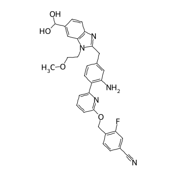 COCCn1c(Cc2ccc(-c3cccc(OCc4ccc(C#N)cc4F)n3)c(N)c2)nc2ccc(C(O)O)cc21